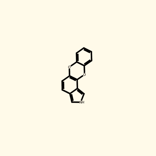 c1ccc2c(c1)Oc1ccc3c[nH]cc3c1O2